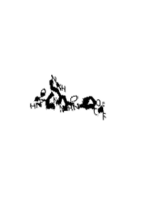 CS(=N)(=O)[C@@H]1CCN(c2ncc(C(=O)Nc3ccc(OC(F)(F)Cl)cc3)cc2-c2ccn[nH]2)C1